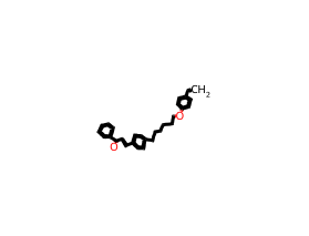 C=Cc1ccc(OCCCCCCc2ccc(C=CC(=O)c3ccccc3)cc2)cc1